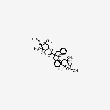 CC1(C)CC(OC(=O)C(Cc2ccccc2)(Cc2ccccc2)C(=O)OC2CC(C)(C)N(CCO)C(C)(C)C2)CC(C)(C)N1CCO